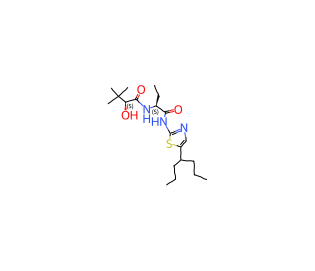 CCCC(CCC)c1cnc(NC(=O)[C@H](CC)NC(=O)[C@@H](O)C(C)(C)C)s1